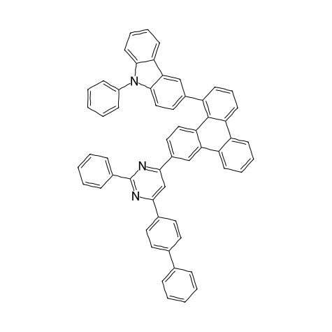 c1ccc(-c2ccc(-c3cc(-c4ccc5c(c4)c4ccccc4c4cccc(-c6ccc7c(c6)c6ccccc6n7-c6ccccc6)c45)nc(-c4ccccc4)n3)cc2)cc1